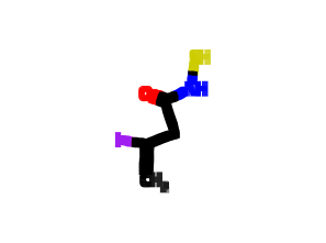 C=C(I)CC(=O)NS